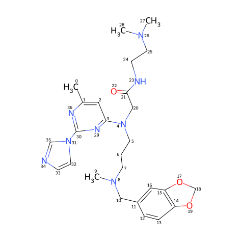 Cc1cc(N(CCCN(C)Cc2ccc3c(c2)OCO3)CC(=O)NCCN(C)C)nc(-n2ccnc2)n1